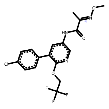 CO/N=C(\C)C(=O)Nc1cnc(OCC(F)(F)F)c(-c2ccc(Cl)cc2)c1